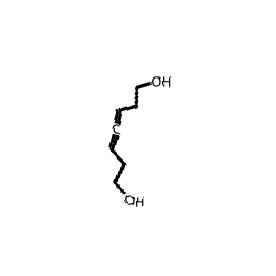 OCCC=C=CCCO